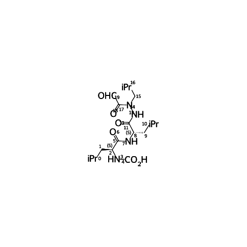 CC(C)C[C@H](NC(=O)O)C(=O)N[C@@H](CC(C)C)C(=O)NN(CC(C)C)C(=O)C=O